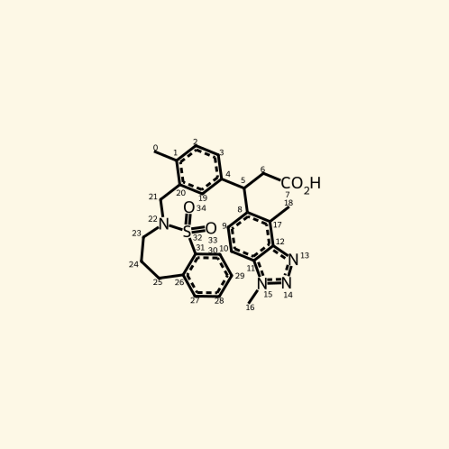 Cc1ccc(C(CC(=O)O)c2ccc3c(nnn3C)c2C)cc1CN1CCCc2ccccc2S1(=O)=O